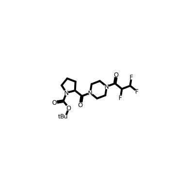 CC(C)(C)OC(=O)N1CCCC1C(=O)N1CCN(C(=O)C(F)C(F)F)CC1